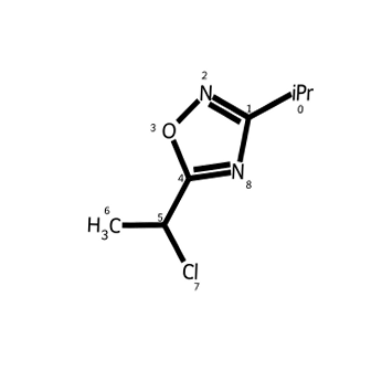 CC(C)c1noc(C(C)Cl)n1